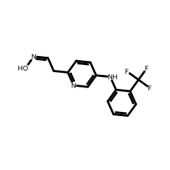 O/N=C\Cc1ccc(Nc2ccccc2C(F)(F)F)cn1